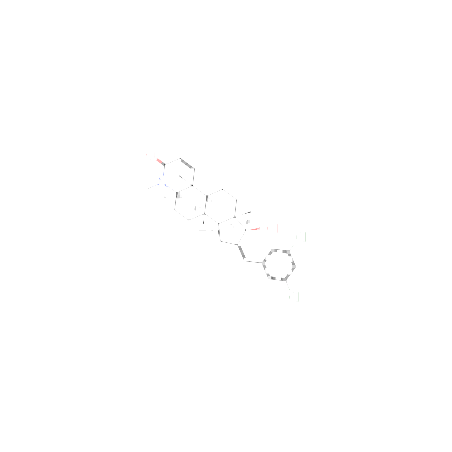 CN1C(=O)C=C[C@]2(C)[C@H]3CC[C@]4(C)[C@@H](O)/C(=C\c5cc(Cl)cc(Cl)c5)C[C@H]4[C@@H]3CC[C@@H]12